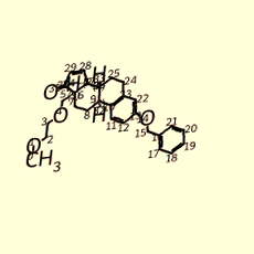 COCCOC[C@]12CC[C@@H]3c4ccc(OCc5ccccc5)cc4CC[C@H]3[C@@H]1C=CC2=O